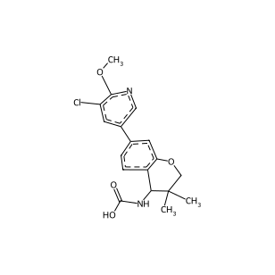 COc1ncc(-c2ccc3c(c2)OCC(C)(C)C3NC(=O)O)cc1Cl